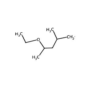 [CH2]C(C)CC(C)OCC